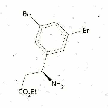 CCOC(=O)C[C@H](N)c1cc(Br)cc(Br)c1